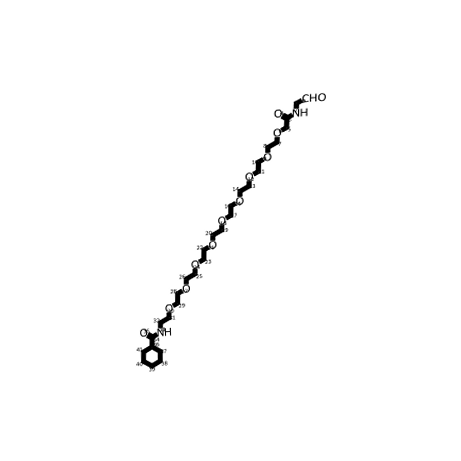 O=CCNC(=O)COCCOCCOCCOCCOCCOCCOCCOCCOCCNC(=O)C1CCCCC1